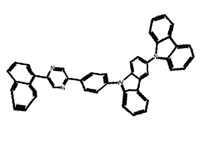 c1ccc2c(-c3cnc(-c4ccc(-n5c6ccccc6c6cc(-n7c8ccccc8c8ccccc87)ccc65)cc4)cn3)cccc2c1